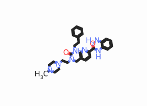 CN1CCN(CCN(Cc2ccc(C(=O)Nc3ccccc3N)nc2)C(=O)NCCc2ccccc2)CC1